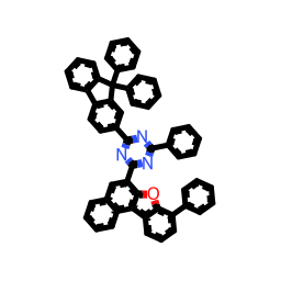 c1ccc(-c2nc(-c3ccc4c(c3)C(c3ccccc3)(c3ccccc3)c3ccccc3-4)nc(-c3cc4ccccc4c4c3oc3c(-c5ccccc5)cccc34)n2)cc1